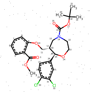 COC(=O)c1ccccc1OC[C@@H]1CN(C(=O)OC(C)(C)C)CCO[C@H]1c1ccc(Cl)c(Cl)c1